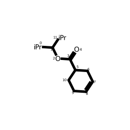 CC(C)C(OC(=O)C1CC=CCC1)C(C)C